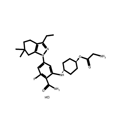 CCc1nn(-c2cc(F)c(C(N)=O)c(N[C@H]3CC[C@H](OC(=O)CN)CC3)c2)c2c1CCC(C)(C)C2.Cl